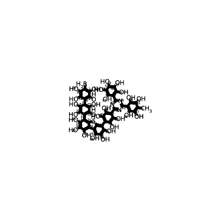 Bc1c(O)c(O)c(-c2c(O)c(O)c(-c3c(O)c(O)c(O)c4c3sc3c(-c5c(O)c(O)c(-c6nc(-c7c(O)c(O)c(C)c(O)c7O)nc(-c7c(O)c(O)c(O)c(O)c7O)n6)c(O)c5O)c(O)c(O)c(O)c34)c(O)c2O)c(O)c1O